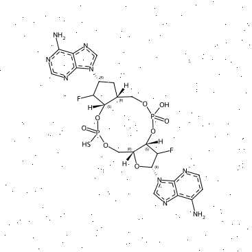 Nc1ncnc2c1ncn2[C@@H]1C[C@@H]2COP(=O)(O)O[C@@H]3C(F)[C@H](n4cnc5c(N)ccnc54)O[C@@H]3COP(=O)(S)O[C@@H]2C1F